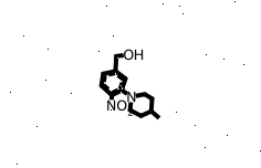 CC1CCN(c2cc(CO)ccc2[N+](=O)[O-])CC1